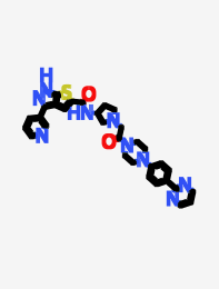 O=C(N[C@H]1CCN(CC(=O)N2CCN(c3ccc(-c4ncccn4)cc3)CC2)C1)c1cc2c(-c3cccnc3)n[nH]c2s1